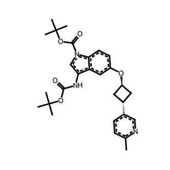 Cc1ccc([C@H]2C[C@H](Oc3ccc4c(c3)c(NC(=O)OC(C)(C)C)cn4C(=O)OC(C)(C)C)C2)cn1